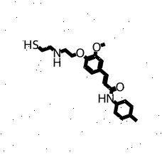 COc1cc(C=CC(=O)NC2CCC(C)CC2)ccc1OCCNCCS